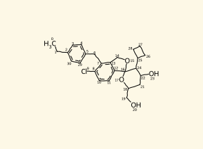 CCc1ccc(Cc2c(Cl)ccc3c2COC32OC(CO)CC(O)C2C2CCC2)cc1